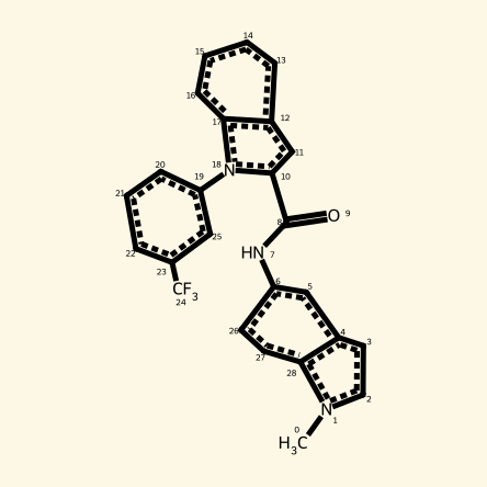 Cn1ccc2cc(NC(=O)c3cc4ccccc4n3-c3cccc(C(F)(F)F)c3)ccc21